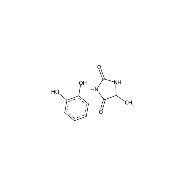 CC1NC(=O)NC1=O.Oc1ccccc1O